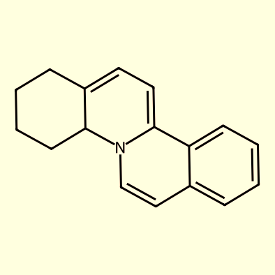 C1=CN2C(=CC=C3CCCCC32)c2ccccc21